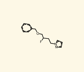 FC(CCn1cccn1)COCc1ccccc1